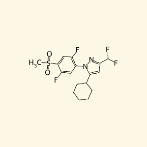 CS(=O)(=O)c1cc(F)c(-n2nc(C(F)F)cc2C2CCCCC2)cc1F